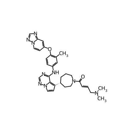 Cc1cc(Nc2ncnn3ccc([C@@H]4CCCN(C(=O)/C=C/CN(C)C)CC4)c23)ccc1Oc1ccn2ncnc2c1